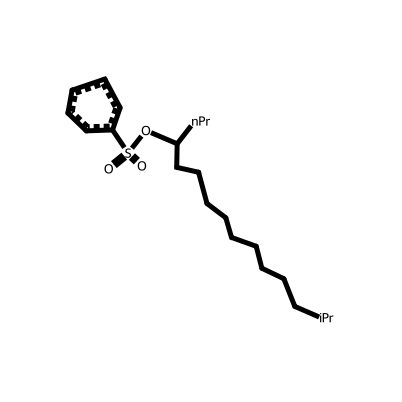 CCCC(CCCCCCCCCC(C)C)OS(=O)(=O)c1ccccc1